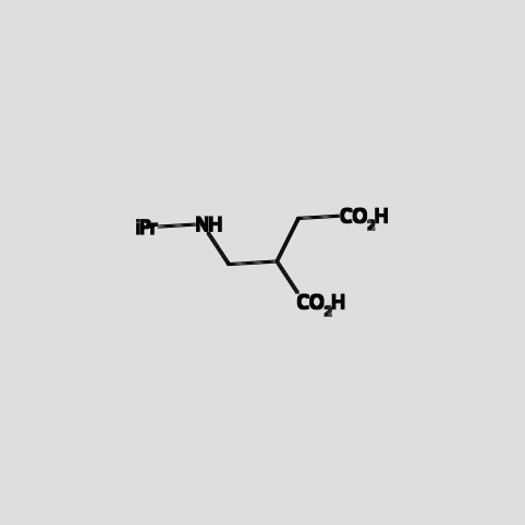 CC(C)NCC(CC(=O)O)C(=O)O